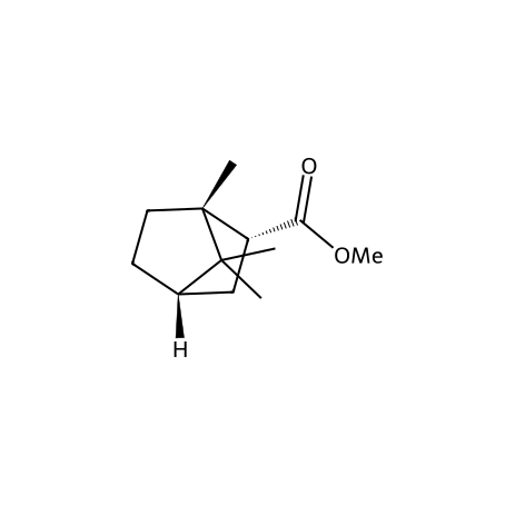 COC(=O)[C@@H]1C[C@@H]2CC[C@@]1(C)C2(C)C